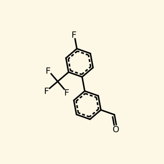 O=Cc1cccc(-c2ccc(F)cc2C(F)(F)F)c1